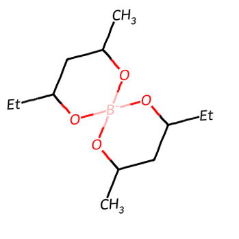 CCC1CC(C)O[B-]2(OC(C)CC(CC)O2)O1